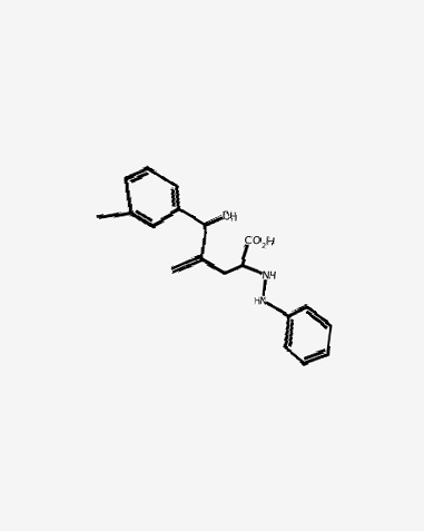 C=C(CC(NNc1ccccc1)C(=O)O)C(O)c1cccc(C)c1